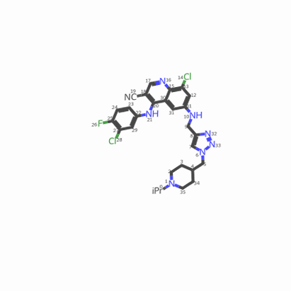 CC(C)N1CCC(Cn2cc(CNc3cc(Cl)c4ncc(C#N)c(Nc5ccc(F)c(Cl)c5)c4c3)nn2)CC1